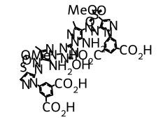 COOSc1cnn(-c2cc(C(=O)O)cc(C(=O)O)c2)c1N=Nc1c(C)nn(-c2nc(O)nc(-n3nc(C)c(N=Nc4c(S(=O)(=O)OC)cnn4-c4cc(C(=O)O)cc(C(=O)O)c4)c3N)n2)c1N